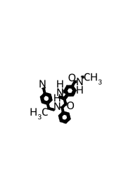 CCNC(=O)c1ccc2c(C(=O)[C@H](NC[C@H](C)c3ccc(C#N)cc3)c3ccccc3)c[nH]c2c1